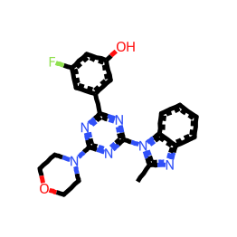 Cc1nc2ccccc2n1-c1nc(-c2cc(O)cc(F)c2)nc(N2CCOCC2)n1